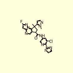 Cn1nccc1C1(C)CC(C(=O)Nc2cnc(-n3nccn3)c(Cl)c2)c2cnc3cc(F)nn3c21